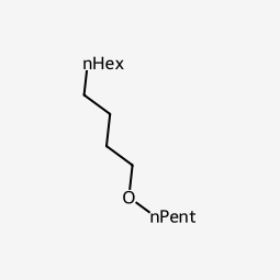 [CH2]CCCCOCCCCCCCCCC